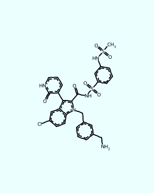 CS(=O)(=O)Nc1cccc(S(=O)(=O)NC(=O)c2c(-c3ccc[nH]c3=O)c3cc(Cl)ccc3n2Cc2cccc(CN)c2)c1